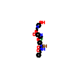 COc1cc2c(Oc3ccc(N(S)C(=O)NC(=O)Cc4ccccc4)cc3F)ccnc2cc1OCCN1CCC(O)CC1